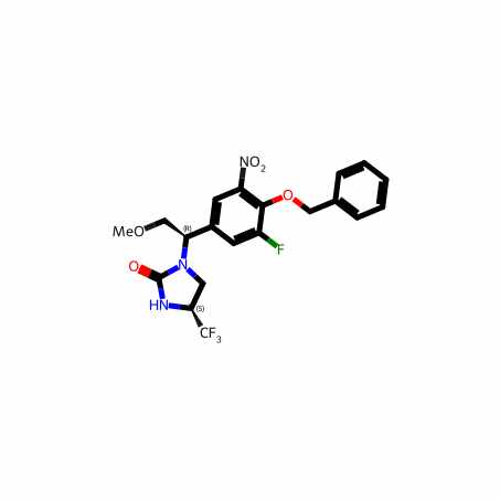 COC[C@@H](c1cc(F)c(OCc2ccccc2)c([N+](=O)[O-])c1)N1C[C@@H](C(F)(F)F)NC1=O